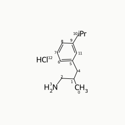 CC(CN)Cc1cccc(C(C)C)c1.Cl